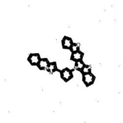 c1cc(-c2cc3cc4ccccc4cn3n2)cc(-n2c3cc4c(cc3c3sc5ccccc5c32)oc2ccccc24)c1